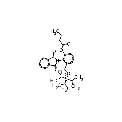 CCCC(=O)Oc1cccc(CO[Si](C(C)C)(C(C)C)C(C)C)c1N1C(=O)c2ccccc2C1=O